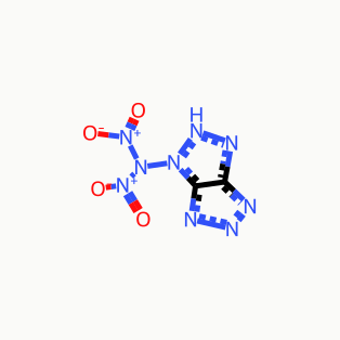 O=[N+]([O-])N(n1[nH]nc2nnnc1-2)[N+](=O)[O-]